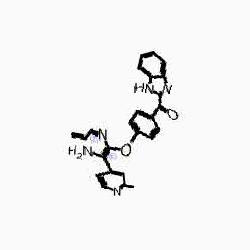 C=C/C=N\C(Oc1ccc(C(=O)c2nc3ccccc3[nH]2)cc1)=C(/N)c1ccnc(C)c1